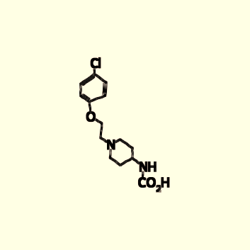 O=C(O)NC1CCN(CCOc2ccc(Cl)cc2)CC1